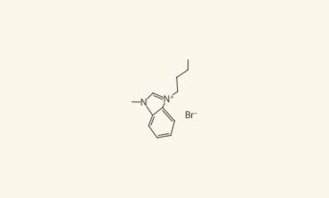 CCCC[n+]1cn(C)c2ccccc21.[Br-]